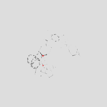 Cc1nc2ccccc2n1C1C[C@H]2CC[C@@H](C1)N2CCC1(c2cccc(F)c2)CCN(C(=O)c2cc(S(=O)(=O)N3CCN(C)CC3)c(F)cc2F)CC1